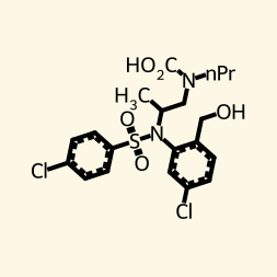 CCCN(CC(C)N(c1cc(Cl)ccc1CO)S(=O)(=O)c1ccc(Cl)cc1)C(=O)O